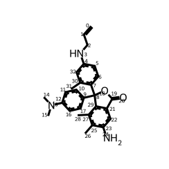 C=CCNc1ccc(C2(c3ccc(N(C)C)cc3)OC(=O)c3cc(N)c(C)c(C)c32)c(C)c1